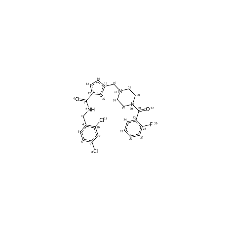 O=C(NCc1ccc(Cl)cc1Cl)c1ccc(CN2CCN(C(=O)c3ccccc3F)CC2)s1